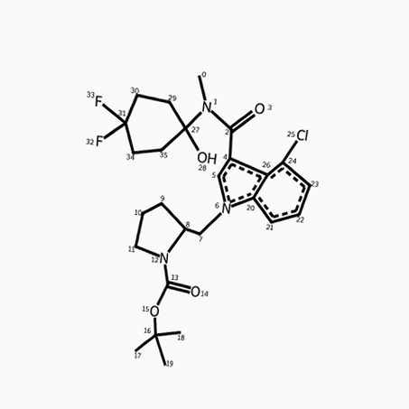 CN(C(=O)c1cn(CC2CCCN2C(=O)OC(C)(C)C)c2cccc(Cl)c12)C1(O)CCC(F)(F)CC1